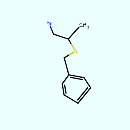 CC(C[N])SCc1ccccc1